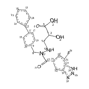 O=C(O)C(O)CNN(Cc1ccc(-c2ccccc2)cc1)C(=O)c1cc(F)c2[nH]nnc2c1